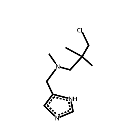 CN(Cc1cnc[nH]1)CC(C)(C)CCl